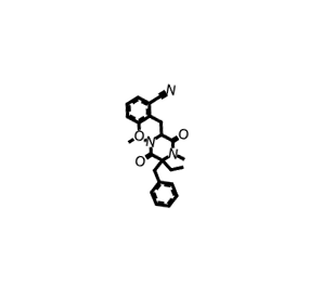 CCC1(Cc2ccccc2)C(=O)N(C)C(Cc2c(C#N)cccc2OC)C(=O)N1C